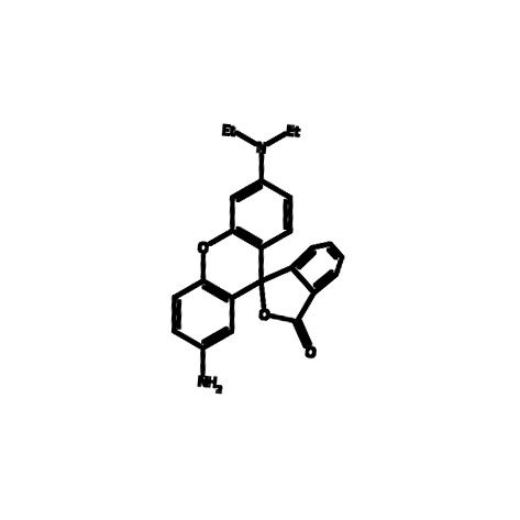 CCN(CC)c1ccc2c(c1)Oc1ccc(N)cc1C21OC(=O)c2ccccc21